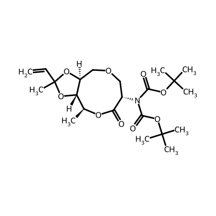 C=CC1(C)O[C@H]2[C@H](C)OC(=O)[C@@H](N(C(=O)OC(C)(C)C)C(=O)OC(C)(C)C)COC[C@@H]2O1